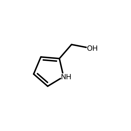 OCc1ccc[nH]1